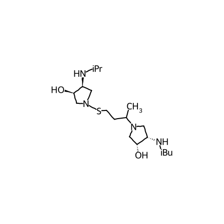 CCC(C)N[C@H]1CN(C(C)CCSN2C[C@@H](O)[C@@H](NC(C)C)C2)C[C@H]1O